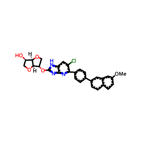 COc1ccc2ccc(-c3ccc(-c4nc5nc(O[C@@H]6CO[C@H]7[C@@H]6OC[C@H]7O)[nH]c5cc4Cl)cc3)cc2c1